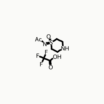 CC(=O)N=S1(=O)CCNCC1.O=C(O)C(F)(F)F